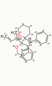 C=C[SiH](C)C1(C2([SiH](c3ccccc3)c3ccccc3)CCCCO2)CCCCO1